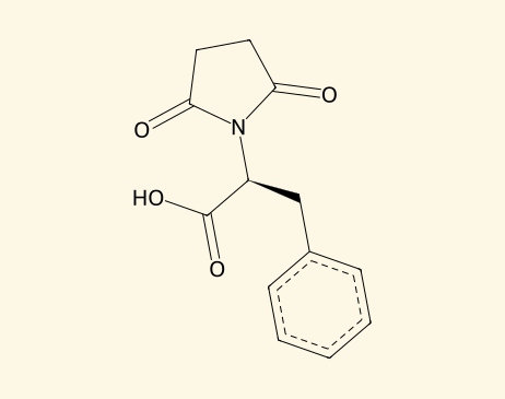 O=C(O)[C@H](Cc1ccccc1)N1C(=O)CCC1=O